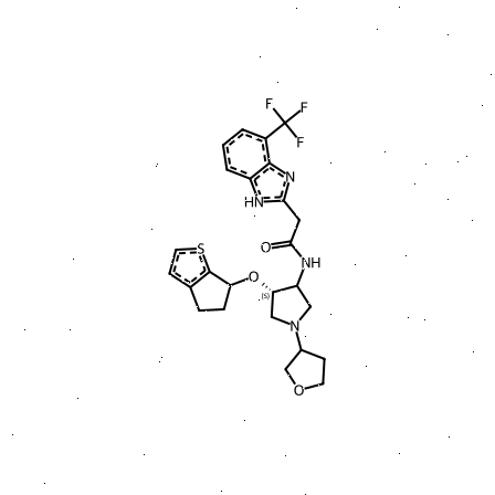 O=C(Cc1nc2c(C(F)(F)F)cccc2[nH]1)NC1CN(C2CCOC2)C[C@@H]1OC1CCc2ccsc21